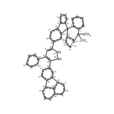 CC1(C)c2ccccc2C2(c3ccccc3-c3ccc(C4=CC(c5ccccc5)=C(c5ccc6c(c5)-c5cccc7cccc-6c57)NN4)cc32)c2ccccc21